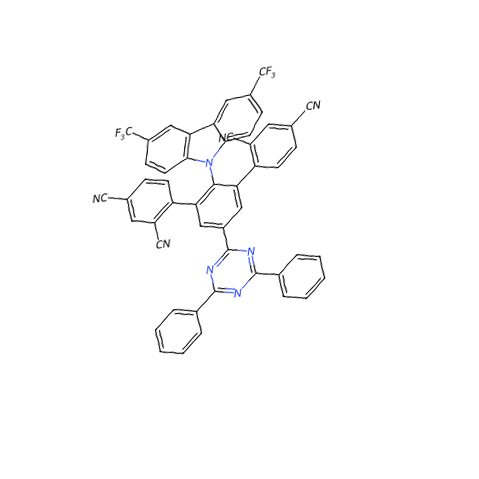 N#Cc1ccc(-c2cc(-c3nc(-c4ccccc4)nc(-c4ccccc4)n3)cc(-c3ccc(C#N)cc3C#N)c2-n2c3ccc(C(F)(F)F)cc3c3cc(C(F)(F)F)ccc32)c(C#N)c1